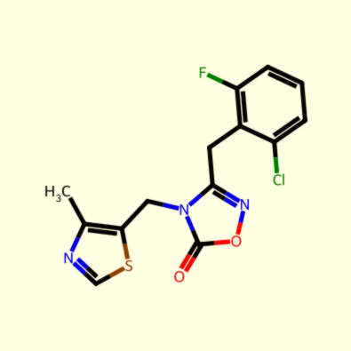 Cc1ncsc1Cn1c(Cc2c(F)cccc2Cl)noc1=O